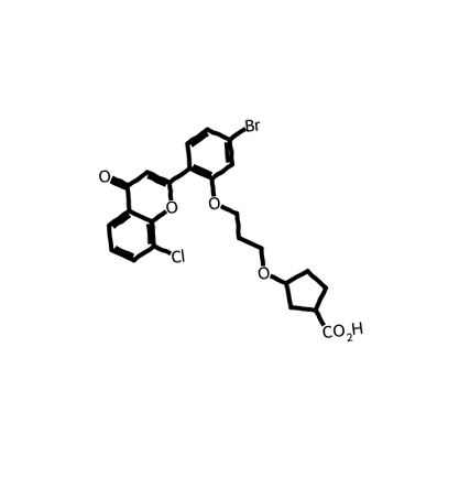 O=C(O)C1CCC(OCCCOc2cc(Br)ccc2-c2cc(=O)c3cccc(Cl)c3o2)C1